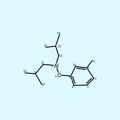 Cc1cccc([O][Al]([CH2]C(C)C)[CH2]C(C)C)c1